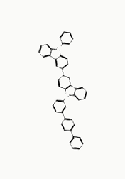 C1=CC(c2ccc3c(c2)c2ccccc2n3-c2ccccc2)Cc2c1n(-c1cccc(-c3ccc(-c4ccccc4)cc3)c1)c1ccccc21